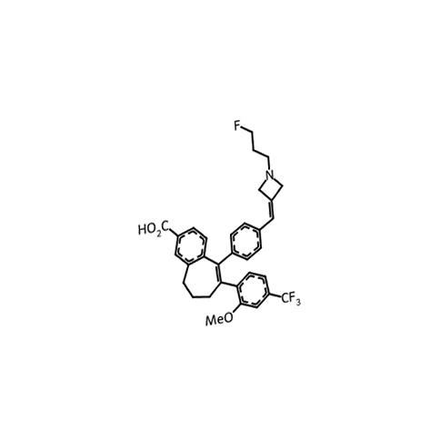 COc1cc(C(F)(F)F)ccc1C1=C(c2ccc(C=C3CN(CCCF)C3)cc2)c2ccc(C(=O)O)cc2CCC1